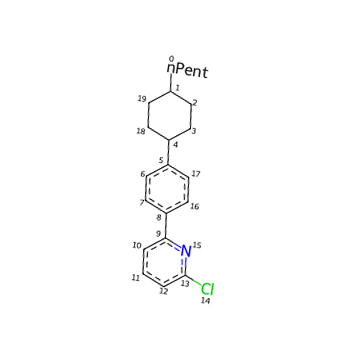 CCCCCC1CCC(c2ccc(-c3cccc(Cl)n3)cc2)CC1